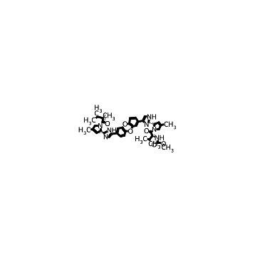 COC(=O)N[C@H](C(=O)N1CC(C)=C[C@H]1c1nc(-c2ccc3c(c2)Oc2ccc(-c4cnc([C@@H]5C=C(C)CN5C(=O)[C@@H](C)C(C)C)[nH]4)cc2O3)c[nH]1)C(C)C